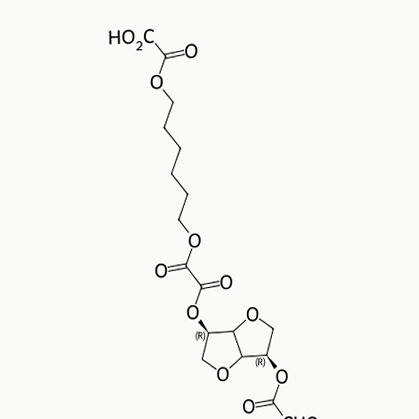 O=CC(=O)O[C@@H]1COC2C1OC[C@H]2OC(=O)C(=O)OCCCCCCOC(=O)C(=O)O